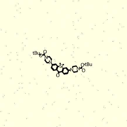 CC(C)(C)OC(=O)N1CCN(c2ccc3c(c2)[Si](C)(C)c2cc(N4CCN(C(=O)OC(C)(C)C)CC4)ccc2C3=O)CC1